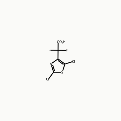 O=C(O)C(F)(F)c1nc(Cl)sc1Cl